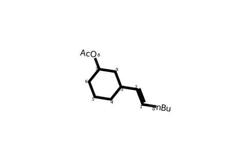 CCCCC=CC1CCCC(OC(C)=O)C1